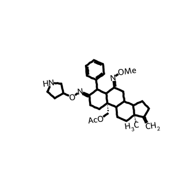 C=C1CCC2C3CC(=NOC)C4C(c5ccccc5)C(=NOC5CCNC5)CC[C@]4(COC(C)=O)C3CC[C@]12C